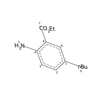 CCCCc1ccc(N)c(C(=O)OCC)c1